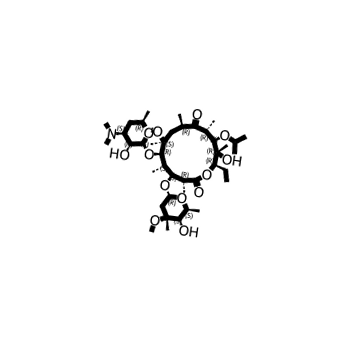 CC[C@H]1OC(=O)[C@H](C)[C@@H](O[C@H]2C[C@@](C)(OC)[C@@H](O)[C@H](C)O2)[C@H](C)[C@@H](O[C@@H]2O[C@H](C)C[C@H](N(C)C)[C@H]2O)[C@@](C)(OC)C[C@@H](C)C(=O)[C@H](C)[C@@H](OC(C)C)[C@]1(C)O